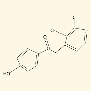 O=C(Cc1cccc(Cl)c1Cl)c1ccc(O)cc1